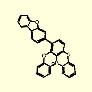 S=P12c3ccccc3Oc3ccc(-c4ccc5c(c4)oc4ccccc45)c(c31)Oc1ccccc12